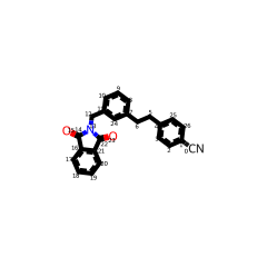 N#Cc1ccc(CCc2cccc(CN3C(=O)c4ccccc4C3=O)c2)cc1